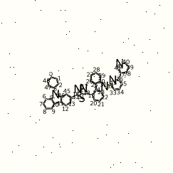 c1ccc(-n2c3ccccc3c3ccc(-c4nnc(-c5cccc6c5c5ccccc5n6-c5cccc(-c6cccnc6)n5)s4)cc32)cc1